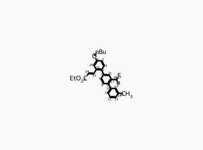 CCCCOc1ccc(-c2ccc(-c3cccc(C)c3)c(C(F)F)c2)c(/C=C/C(=O)OCC)c1